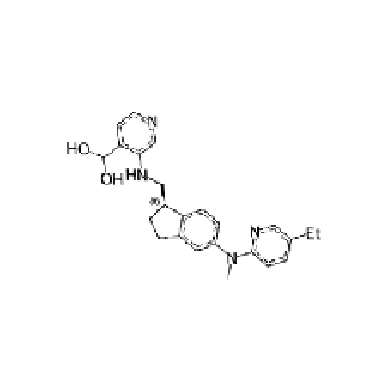 CCc1ccc(N(C)c2ccc3c(c2)CC[C@H]3CNc2cnccc2C(O)O)nc1